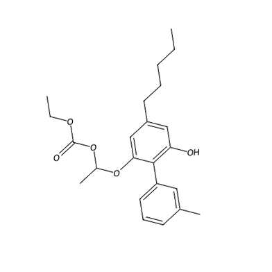 CCCCCc1cc(O)c(-c2cccc(C)c2)c(OC(C)OC(=O)OCC)c1